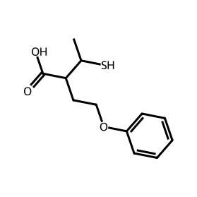 CC(S)C(CCOc1ccccc1)C(=O)O